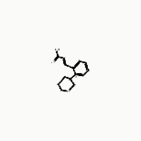 O=C(O)/C=C/c1ccccc1C1CCCOC1